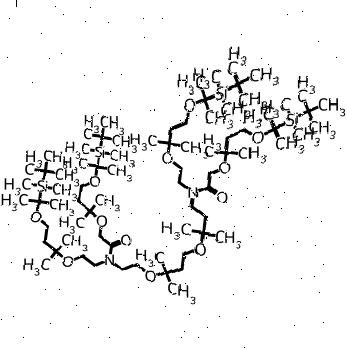 CC(C)(CCOC(C)(C)CCN(CCOC(C)(C)CCOC(C)(C)[Si](C)(C)C(C)(C)C)C(=O)COC(C)(C)CCOC(C)(C)[Si](C)(C)C(C)(C)C)OCCN(CCOC(C)(C)CCOC(C)(C)[Si](C)(C)C(C)(C)C)C(=O)COC(C)(C)CCOC(C)(C)[Si](C)(C)C(C)(C)C